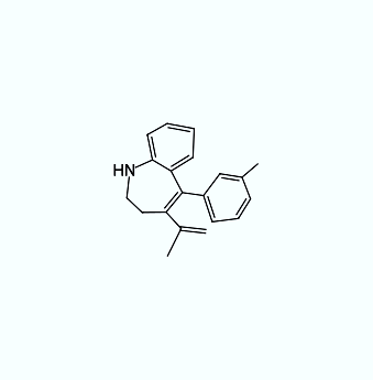 C=C(C)C1=C(c2cccc(C)c2)c2ccccc2NCC1